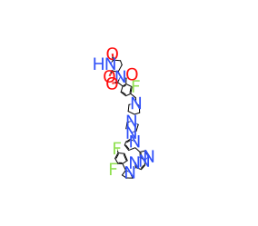 O=C1CCC(N2C(=O)c3ccc(CN4CCC(N5CCN(c6cccc(-c7cnn8ccc(N9CCCC9c9ccc(F)cc9F)nc78)n6)CC5)CC4)c(F)c3C2=O)C(=O)N1